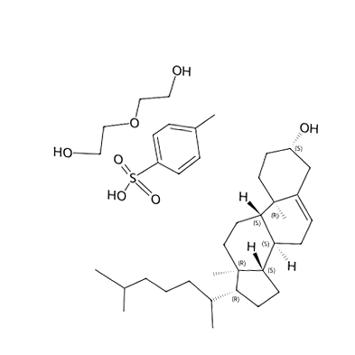 CC(C)CCCC(C)[C@H]1CC[C@H]2[C@@H]3CC=C4C[C@@H](O)CC[C@]4(C)[C@H]3CC[C@]12C.Cc1ccc(S(=O)(=O)O)cc1.OCCOCCO